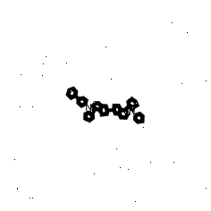 c1ccc(-c2ccc(-n3c4ccccc4c4c5ccc(-c6ccc7c(ccc8c7c7ccccc7n8-c7ccccc7)c6)cc5ccc43)cc2)cc1